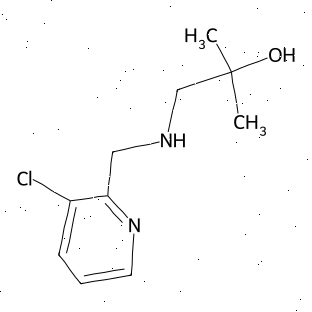 CC(C)(O)CNCc1ncccc1Cl